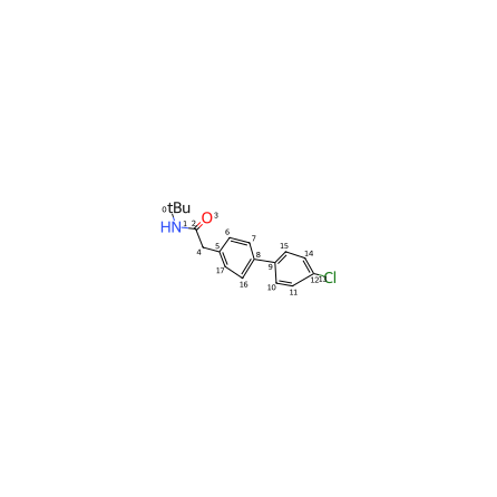 CC(C)(C)NC(=O)Cc1ccc(-c2ccc(Cl)cc2)cc1